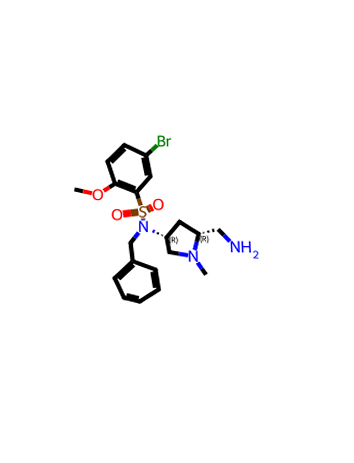 COc1ccc(Br)cc1S(=O)(=O)N(Cc1ccccc1)[C@@H]1C[C@H](CN)N(C)C1